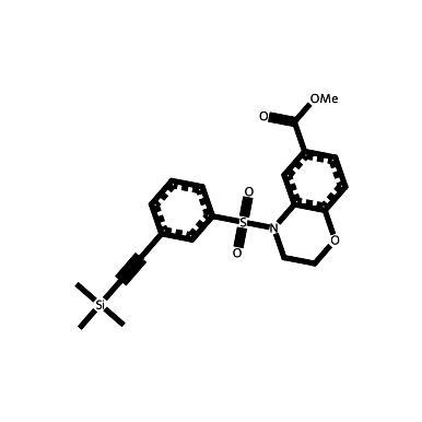 COC(=O)c1ccc2c(c1)N(S(=O)(=O)c1cccc(C#C[Si](C)(C)C)c1)CCO2